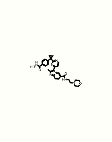 Cc1nc2ccc(C(=O)NCCN3CCOCC3)cn2c1-c1ccnc(C2(c3ccc(C(=O)NO)cc3)CC2)n1